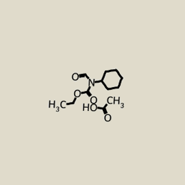 CC(=O)O.CCOC(=O)N(C=O)C1CCCCC1